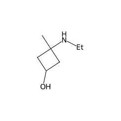 CCNC1(C)CC(O)C1